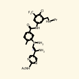 CC(=O)Nc1ncc(/C(N)=C/N(N)c2cc(C(=O)Nc3cc(CNC(C)C)c(Cl)c(C(F)(F)F)c3)ccc2C)cn1